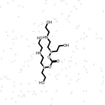 O=C(ON(CCO)CCNCCO)ON(CCO)CCNCCO